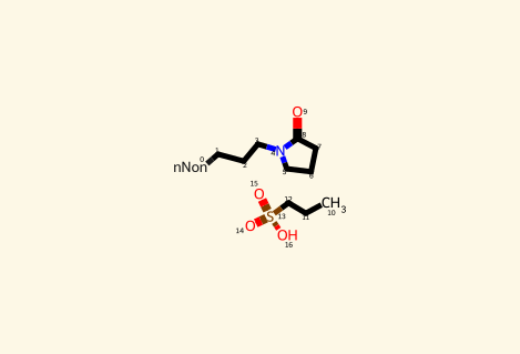 CCCCCCCCCCCCN1CCCC1=O.CCCS(=O)(=O)O